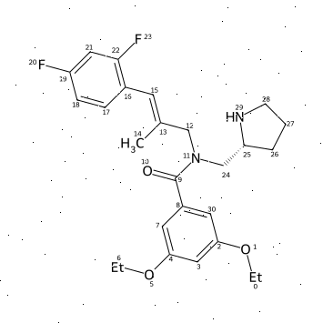 CCOc1cc(OCC)cc(C(=O)N(C/C(C)=C/c2ccc(F)cc2F)C[C@H]2CCCN2)c1